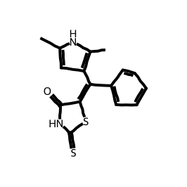 Cc1cc(C(=C2SC(=S)NC2=O)c2ccccc2)c(C)[nH]1